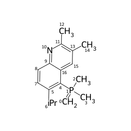 C=P(C)(C)c1c(C(C)C)ccc2nc(C)c(C)cc12